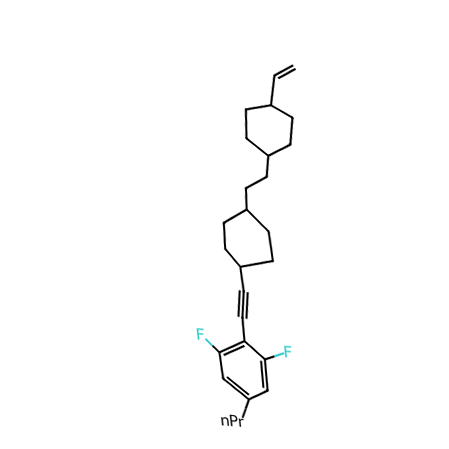 C=CC1CCC(CCC2CCC(C#Cc3c(F)cc(CCC)cc3F)CC2)CC1